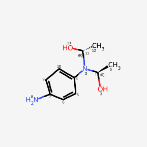 C[C@@H](O)N(c1ccc(N)cc1)[C@@H](C)O